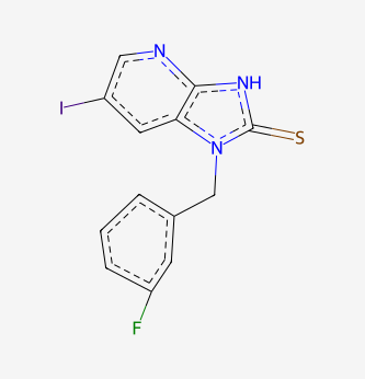 Fc1cccc(Cn2c(=S)[nH]c3ncc(I)cc32)c1